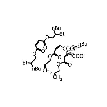 C=CCOC(=O)/C=C\C(=O)[O-].C=CCOC(=O)/C=C\C(=O)[O-].CCCCC(CC)COC(=O)/C=C\C(=O)OCC(CC)CCCC.CCC[CH2][Sn+2][CH2]CCC